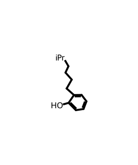 CC(C)CCCCc1ccccc1O